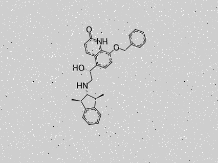 C[C@@H]1c2ccccc2[C@H](C)[C@H]1NC[C@H](O)c1ccc(OCc2ccccc2)c2[nH]c(=O)ccc12